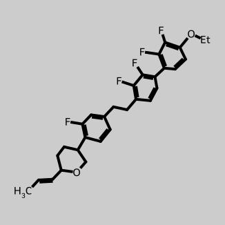 C/C=C/C1CCC(c2ccc(CCc3ccc(-c4ccc(OCC)c(F)c4F)c(F)c3F)cc2F)CO1